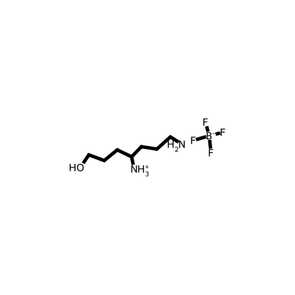 F[B-](F)(F)F.NCCCC([NH3+])CCCO